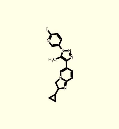 Cc1c(C2=CN3CC(C4CC4)N=C3C=C2)nnn1-c1ccc(F)nc1